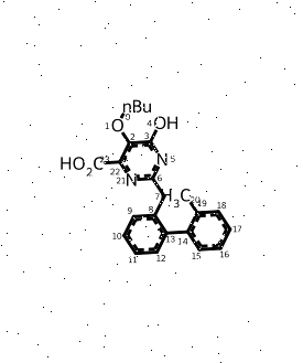 CCCCOc1c(O)nc(Cc2ccccc2-c2ccccc2C)nc1C(=O)O